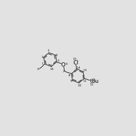 Cc1cccc(OCc2ccc(C(C)(C)C)cc2Cl)c1